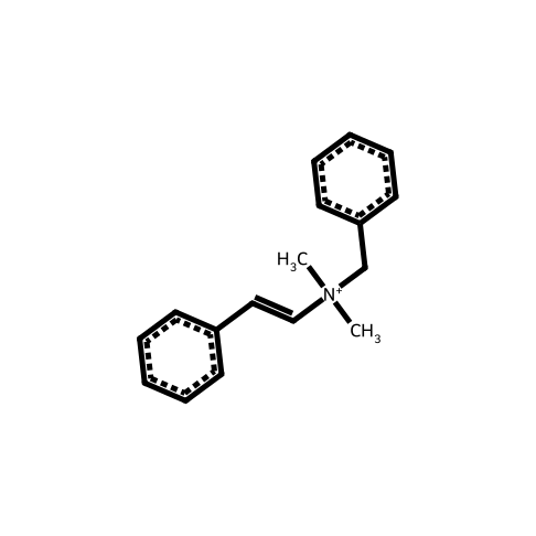 C[N+](C)(C=Cc1ccccc1)Cc1ccccc1